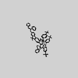 CC(C)(C)c1ccc(N2B3c4cc(C(C)(C)C)ccc4-n4c5ccc(C(C)(C)C)cc5c5c6c(oc7ccccc76)c(c3c54)-c3cc4c(cc32)-c2ccc(C/C(=C/c3ccccc3)c3ccccc3)cc2C4(C)C)cc1